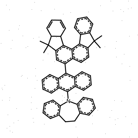 CC1(C)c2ccccc2-c2c1ccc1c(-c3c4ccccc4c(N4c5ccccc5CCc5ccccc54)c4ccccc34)cc3c(c21)C1C=CC=CC1C3(C)C